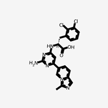 Cc1ncc2ccc(-c3cc(N[C@H](Cc4cccc(Cl)c4Cl)C(=O)O)nc(N)n3)cn12